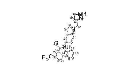 O=C(Nc1ccc2c(c1)CCN2Cc1nc[nH]n1)c1cc(C(F)(F)F)ccc1-c1ccccc1